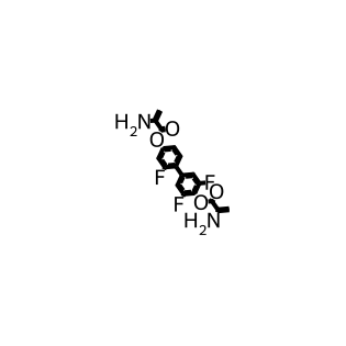 C=C(N)C(=O)Oc1ccc(-c2cc(F)c(OC(=O)C(=C)N)c(F)c2)c(F)c1